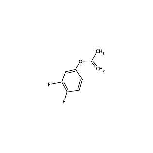 C=C(C)Oc1ccc(F)c(F)c1